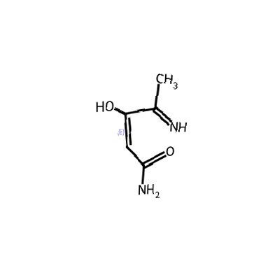 CC(=N)/C(O)=C\C(N)=O